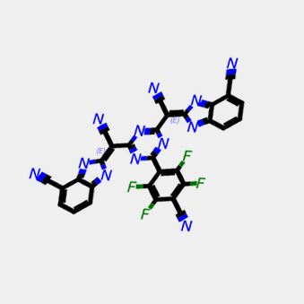 N#C/C(=C1/N=c2cccc(C#N)c2=N1)c1nc(/C(C#N)=C2\N=c3cccc(C#N)c3=N2)nc(-c2c(F)c(F)c(C#N)c(F)c2F)n1